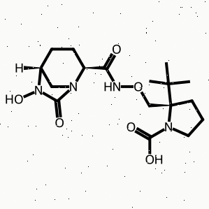 CC(C)(C)[C@]1(CONC(=O)[C@@H]2CC[C@@H]3CN2C(=O)N3O)CCCN1C(=O)O